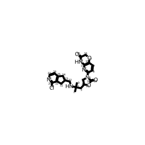 CC(C)(CC1CN(c2ccc3c(n2)NC(=O)CO3)C(=O)O1)NCC1Cc2ccnc(Cl)c2C1